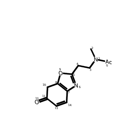 CC(=O)N(C)CCc1nc2c(o1)CC(=O)C=C2